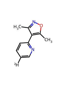 [2H]c1ccc(-c2c(C)noc2C)nc1